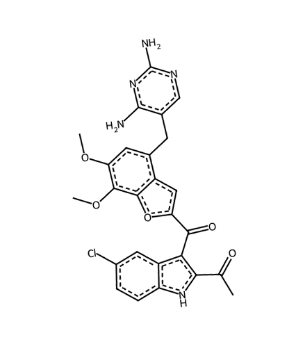 COc1cc(Cc2cnc(N)nc2N)c2cc(C(=O)c3c(C(C)=O)[nH]c4ccc(Cl)cc34)oc2c1OC